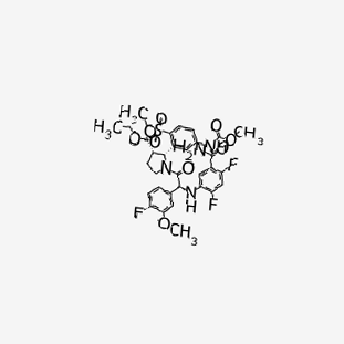 CCOC(=O)[C@H]1CCN(C(=O)[C@@H](Nc2cc(C(N)=O)c(F)cc2F)c2ccc(F)c(OC)c2)[C@H]1c1cc(NC(=O)OC)ccc1S(=O)(=O)CC